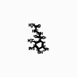 Cc1c(S(=O)(=O)NNC(N)=O)cc(C(C)C)c(O)c1C(C)C